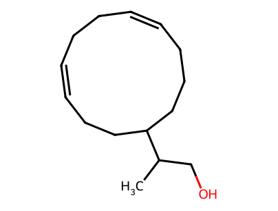 CC(CO)C1CCC=CCCC=CCCC1